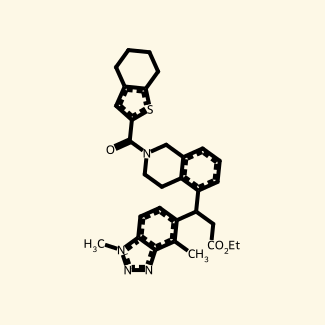 CCOC(=O)CC(c1cccc2c1CCN(C(=O)c1cc3c(s1)CCCC3)C2)c1ccc2c(nnn2C)c1C